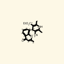 CCOC(=O)C1=C(C)NC(C)=C(C#N)[C@H]1c1cccc2c(=O)cc(C)oc12